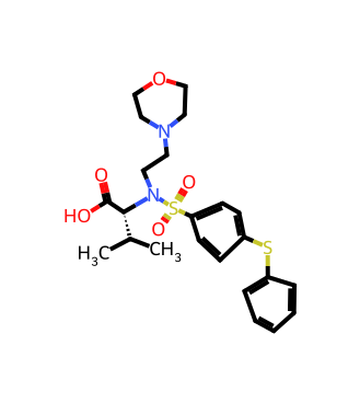 CC(C)[C@H](C(=O)O)N(CCN1CCOCC1)S(=O)(=O)c1ccc(Sc2ccccc2)cc1